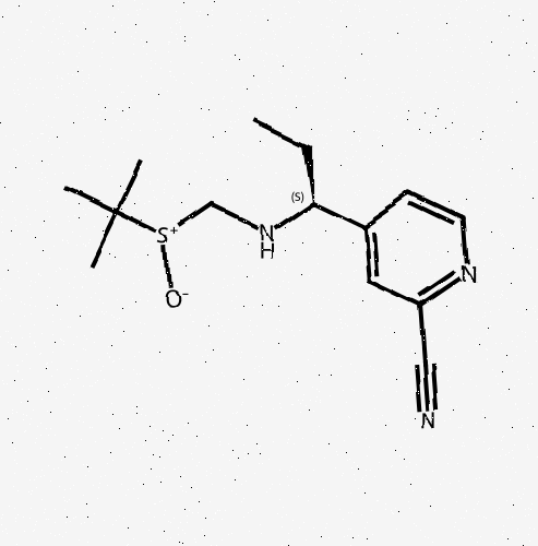 CC[C@H](NC[S+]([O-])C(C)(C)C)c1ccnc(C#N)c1